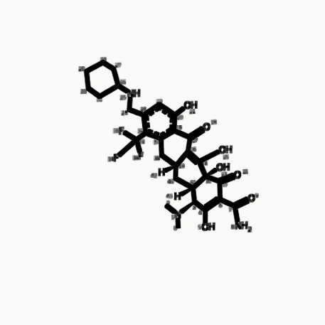 CN(C)[C@@H]1C(O)=C(C(N)=O)C(=O)[C@@]2(O)C(O)=C3C(=O)c4c(O)cc(CNC5CCCCC5)c(C(F)(F)F)c4C[C@H]3C[C@@H]12